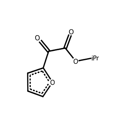 CC(C)OC(=O)C(=O)c1ccco1